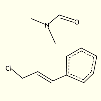 CN(C)C=O.ClCC=Cc1ccccc1